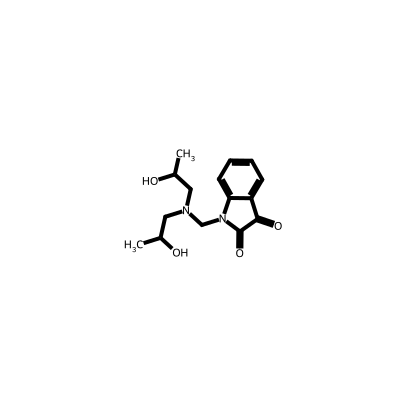 CC(O)CN(CC(C)O)CN1C(=O)C(=O)c2ccccc21